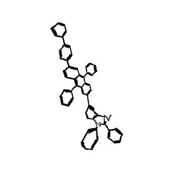 c1ccc(-c2ccc(-c3ccc4c(-c5ccccc5)c5cc(-c6ccc7c(c6)nc(-c6ccccc6)n7-c6ccccc6)ccc5c(-c5ccccc5)c4c3)cc2)cc1